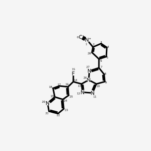 [C-]#[N+]c1cccc(-c2ccc3nnc(C(F)c4ccc5ncccc5c4)n3n2)c1